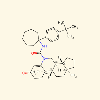 CC(C)(C)c1ccc(C2(NC(=O)N3C[C@H]4[C@@H]5CCC[C@@]5(C)CC[C@@H]4[C@@]4(C)CCC(=O)C=C34)CCCCCC2)cc1